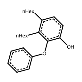 CCCCCCc1ccc(O)c(Oc2ccccc2)c1CCCCCC